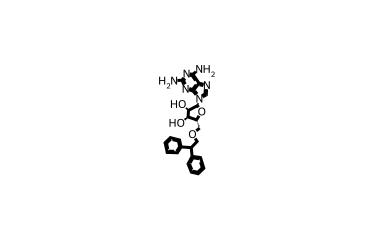 Nc1nc(N)c2ncn([C@@H]3O[C@H](COCC(c4ccccc4)c4ccccc4)[C@@H](O)[C@H]3O)c2n1